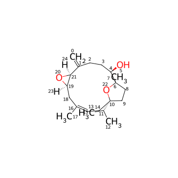 C=C1CC[C@@H](O)[C@@]2(C)CC[C@@](C(C)C)(C/C=C(/C)C[C@H]3O[C@@H]13)O2